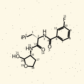 CC(C)C[C@H](NC(=O)c1cccc(F)c1)C(=O)N[C@H]1CCOC1O